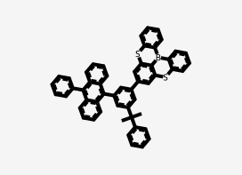 CC(C)(c1ccccc1)c1cc(-c2cc3c4c(c2)Sc2ccccc2B4c2ccccc2S3)cc(-c2c3ccccc3c(-c3ccccc3)c3ccccc23)c1